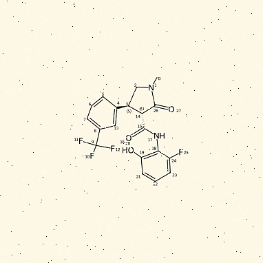 CN1C[C@H](c2cccc(C(F)(F)F)c2)[C@@H](C(=O)Nc2c(O)cccc2F)C1=O